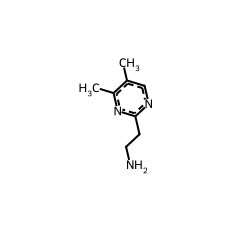 Cc1cnc(CCN)nc1C